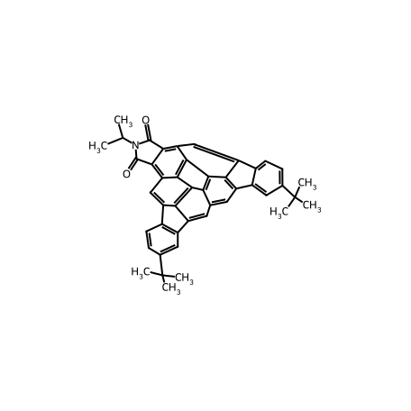 CC(C)n1c(=O)c2c3cc4c5ccc(C(C)(C)C)cc5c5cc6cc7c8cc(C(C)(C)C)ccc8c8cc(c2c1=O)c1c3c(c54)c6c1c78